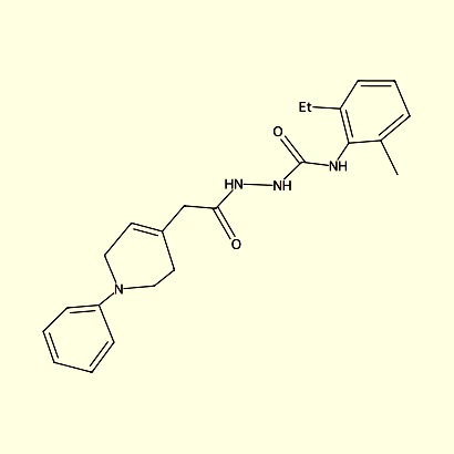 CCc1cccc(C)c1NC(=O)NNC(=O)CC1=CCN(c2ccccc2)CC1